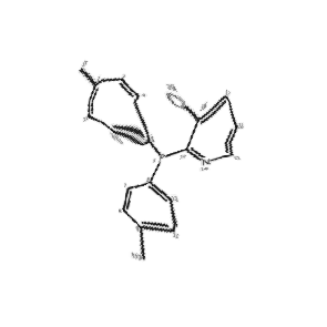 Cc1ccc(P(c2ccc(C)cc2)c2ncccc2Cl)cc1